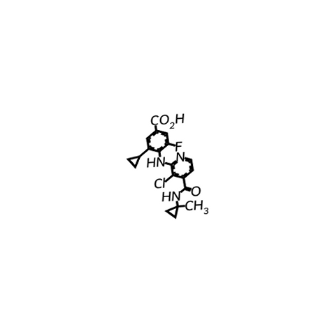 CC1(NC(=O)c2ccnc(Nc3c(F)cc(C(=O)O)cc3C3CC3)c2Cl)CC1